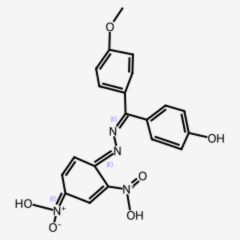 COc1ccc(/C(=N/N=C2C=C/C(=[N+](/[O-])O)C=C\2[N+](=O)O)c2ccc(O)cc2)cc1